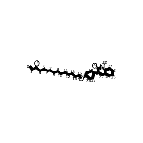 C=CC(=O)CCCCCCCCCCCCOc1ccc(-c2cc3ccccc3n(C)c2=O)cc1